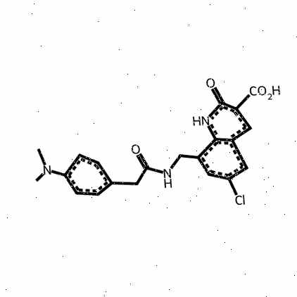 CN(C)c1ccc(CC(=O)NCc2cc(Cl)cc3cc(C(=O)O)c(=O)[nH]c23)cc1